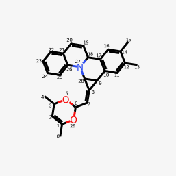 CC1=CC(C)OC(/C=C2/C3c4cc(C)c(C)cc4C4C=Cc5ccccc5N4C23)O1